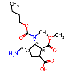 CCCCOC(=O)N(C)[C@H]1[C@@H](CN)CC(C(=O)O)[C@@H]1C(=O)OC